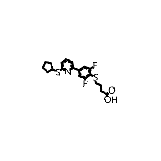 O=C(O)CCCSc1c(F)cc(-c2cccc(SC3CCCC3)n2)cc1F